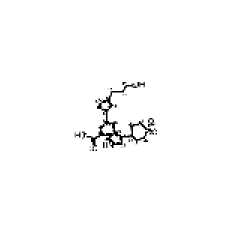 NC(=O)c1cc(-c2csc(CCCO)c2)cc2c(C3CCS(=O)(=O)CC3)c[nH]c12